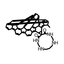 CC1c2c3c4c5c(c6ccc7c8ccc9c%10ccc%11c1c1c2c4c2c4c1c%11c%10c1c9c8c8c7c6c5c2c8c14)C1C3C12C(=O)NCCNCCCNCCNC2=O